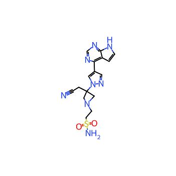 N#CCC1(n2cc(-c3ncnc4[nH]ccc34)cn2)CN(CCS(N)(=O)=O)C1